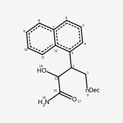 CCCCCCCCCCCC(c1cccc2ccccc12)C(O)C(N)=O